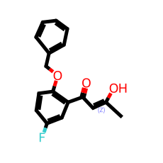 C/C(O)=C/C(=O)c1cc(F)ccc1OCc1ccccc1